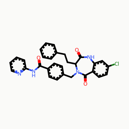 O=C(Nc1ccccn1)c1ccc(CN2C(=O)c3ccc(Cl)cc3NC(=O)C2CCc2ccccc2)cc1